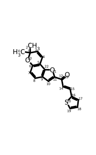 CC1(C)C=Cc2c(ccc3cc(C(=O)/C=C/c4cccs4)oc23)O1